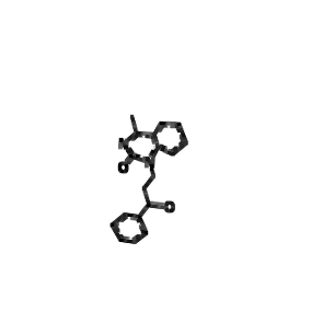 Cc1nc(=O)n(CCC(=O)c2ccccc2)c2ccccc12